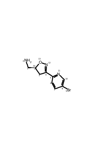 NC[C@@H]1CC(c2ccc(Br)cn2)=NO1